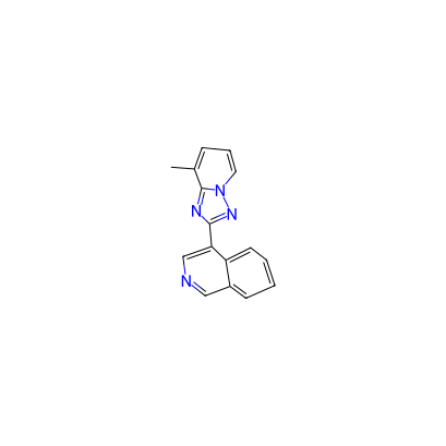 Cc1cccn2nc(-c3cncc4ccccc34)nc12